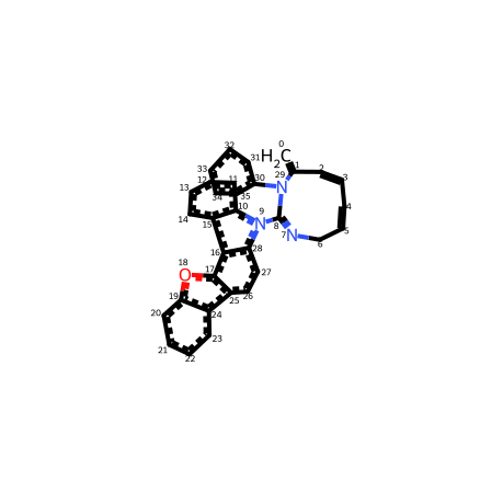 C=C1/C=C\C=C/C/N=C(/n2c3ccccc3c3c4oc5ccccc5c4ccc32)N1c1ccccc1